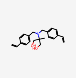 C=Cc1ccc(CN(Cc2ccc(C=C)cc2)C(C)(CO)CO)cc1